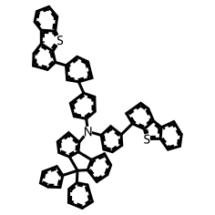 c1ccc(C2(c3ccccc3)c3ccccc3-c3c(N(c4ccc(-c5cccc(-c6cccc7c6sc6ccccc67)c5)cc4)c4cccc(-c5cccc6c5sc5ccccc56)c4)cccc32)cc1